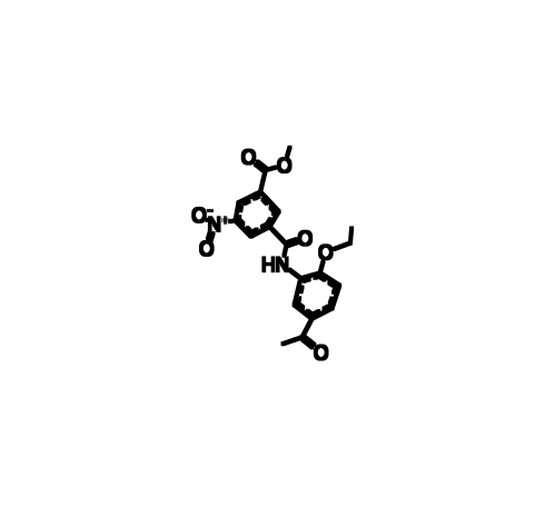 CCOc1ccc(C(C)=O)cc1NC(=O)c1cc(C(=O)OC)cc([N+](=O)[O-])c1